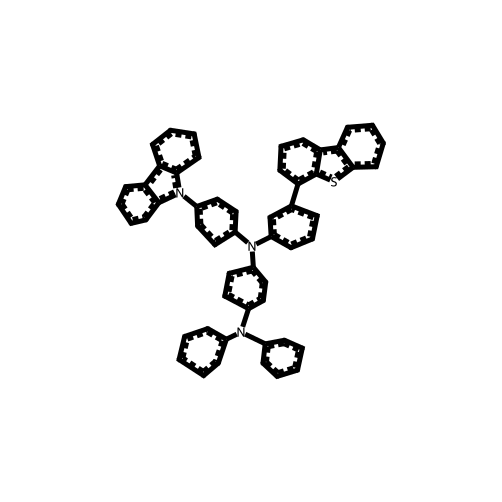 c1ccc(N(c2ccccc2)c2ccc(N(c3ccc(-n4c5ccccc5c5ccccc54)cc3)c3cccc(-c4cccc5c4sc4ccccc45)c3)cc2)cc1